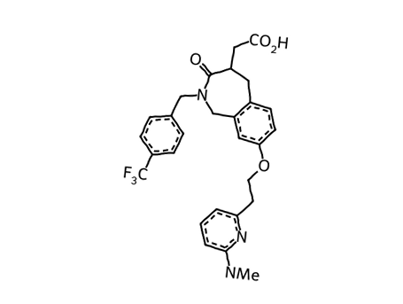 CNc1cccc(CCOc2ccc3c(c2)CN(Cc2ccc(C(F)(F)F)cc2)C(=O)C(CC(=O)O)C3)n1